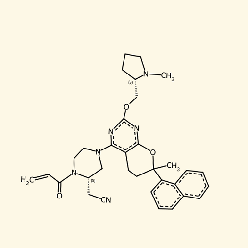 C=CC(=O)N1CCN(c2nc(OC[C@@H]3CCCN3C)nc3c2CCC(C)(c2cccc4ccccc24)O3)C[C@@H]1CC#N